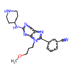 COCCCn1c(-c2cccc(C#N)c2)nc2cnc(NC3CCNCC3)nc21